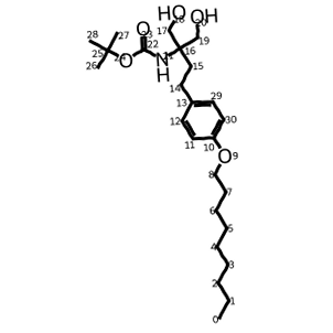 CCCCCCCCCOc1ccc(CCC(CO)(CO)NC(=O)OC(C)(C)C)cc1